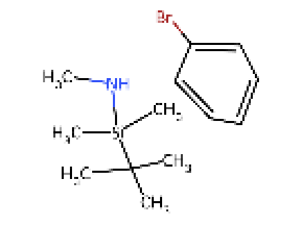 Brc1ccccc1.CN[Si](C)(C)C(C)(C)C